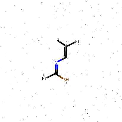 CC/C(S)=N/C=C(\C)CC